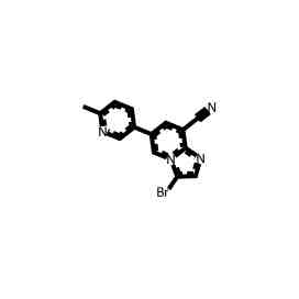 Cc1ccc(-c2cc(C#N)c3ncc(Br)n3c2)cn1